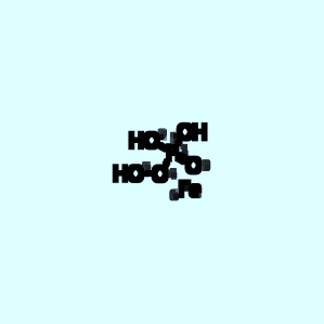 O=P(O)(O)OO.[Fe]